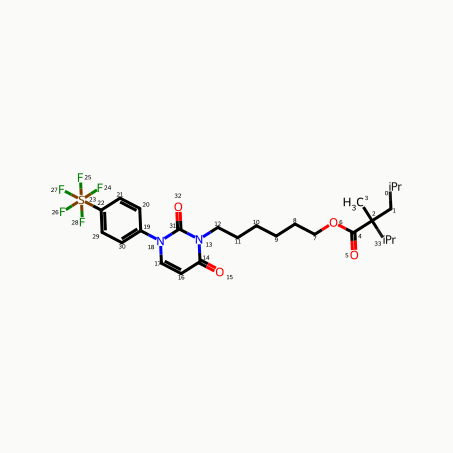 CC(C)CC(C)(C(=O)OCCCCCCn1c(=O)ccn(-c2ccc(S(F)(F)(F)(F)F)cc2)c1=O)C(C)C